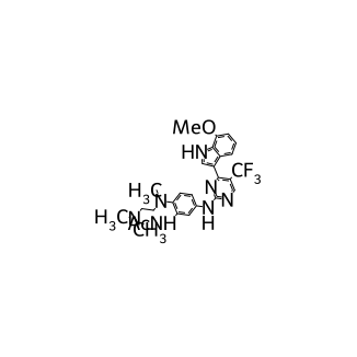 COc1cccc2c(-c3nc(Nc4ccc(N(C)CCN(C)C)c(NC(C)=O)c4)ncc3C(F)(F)F)c[nH]c12